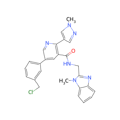 Cn1cc(-c2ncc(-c3cccc(CCl)c3)cc2C(=O)NCc2nc3ccccc3n2C)cn1